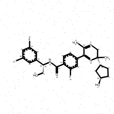 CC1([C@@H]2CC[C@@H](O)C2)CN=C(N)C(c2ccc(C(=O)N[C@H](CO)c3cc(F)cc(I)c3)c(F)c2)=N1